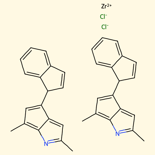 CC1=NC2=C(C)C=C(C3C=Cc4ccccc43)C2=C1.CC1=NC2=C(C)C=C(C3C=Cc4ccccc43)C2=C1.[Cl-].[Cl-].[Zr+2]